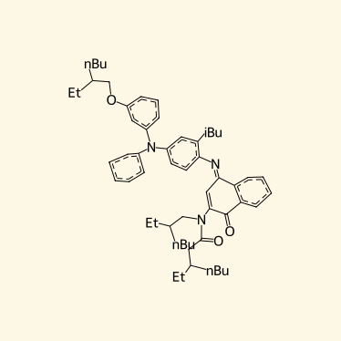 CCCCC(CC)COc1cccc(N(c2ccccc2)c2ccc(N=C3C=C(N(CC(CC)CCCC)C(=O)CC(CC)CCCC)C(=O)c4ccccc43)c(C(C)CC)c2)c1